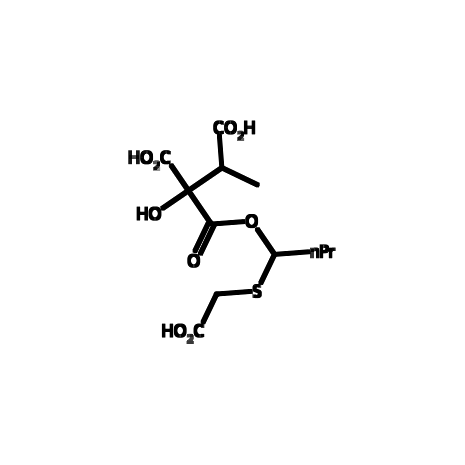 CCCC(OC(=O)C(O)(C(=O)O)C(C)C(=O)O)SCC(=O)O